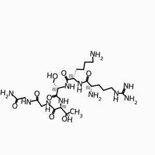 C[C@@H](O)[C@H](NC(=O)[C@H](CO)NC(=O)[C@H](CCCCN)NC(=O)[C@@H](N)CCCNC(=N)N)C(=O)NCC(=O)NCC(N)=O